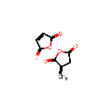 C=C1CC(=O)OC1=O.O=C1C=CC(=O)O1